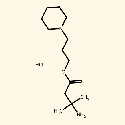 CC(C)(N)CC(=O)OCCCN1CCCCC1.Cl